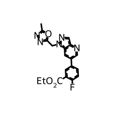 CCOC(=O)c1cc(-c2cnc3cnn(Cc4nnc(C)o4)c3c2)ccc1F